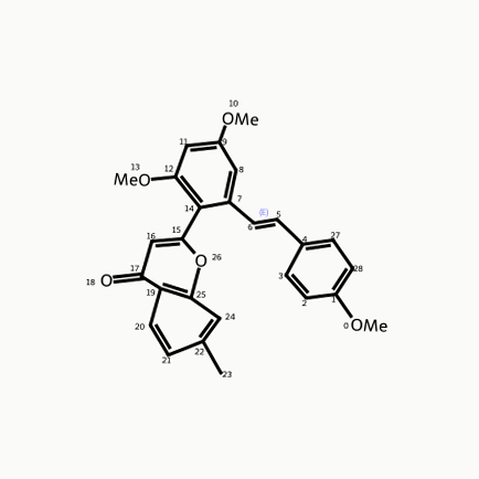 COc1ccc(/C=C/c2cc(OC)cc(OC)c2-c2cc(=O)c3ccc(C)cc3o2)cc1